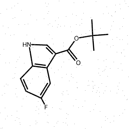 CC(C)(C)OC(=O)c1c[nH]c2ccc(F)cc12